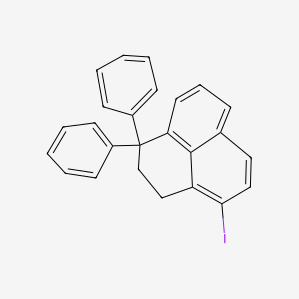 Ic1ccc2cccc3c2c1CCC3(c1ccccc1)c1ccccc1